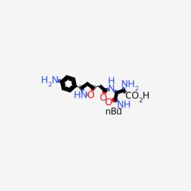 CCCCNC(=O)C(NC(=O)C[C@H]1C[C@@H](c2ccc(N)cc2)NO1)C(N)C(=O)O